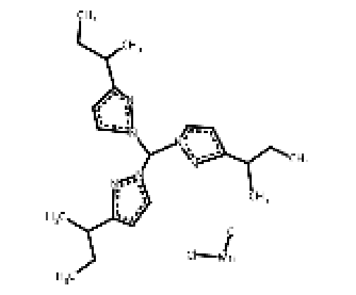 CCC(C)c1ccn(C(n2ccc(C(C)CC)n2)n2ccc(C(C)CC)n2)n1.[Cl][Mn][Cl]